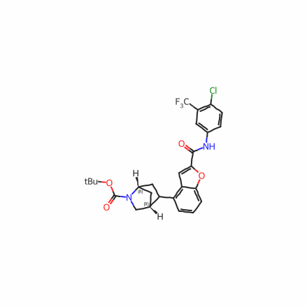 CC(C)(C)OC(=O)N1C[C@@H]2C[C@H]1CC2c1cccc2oc(C(=O)Nc3ccc(Cl)c(C(F)(F)F)c3)cc12